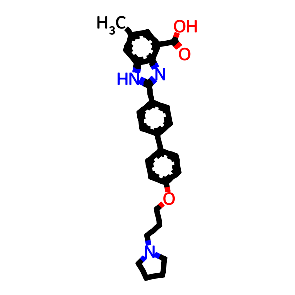 Cc1cc(C(=O)O)c2nc(-c3ccc(-c4ccc(OCCCN5CCCC5)cc4)cc3)[nH]c2c1